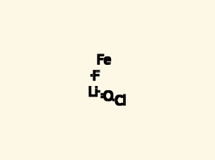 [Cl].[F].[Fe].[Li].[O]